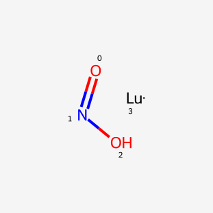 O=NO.[Lu]